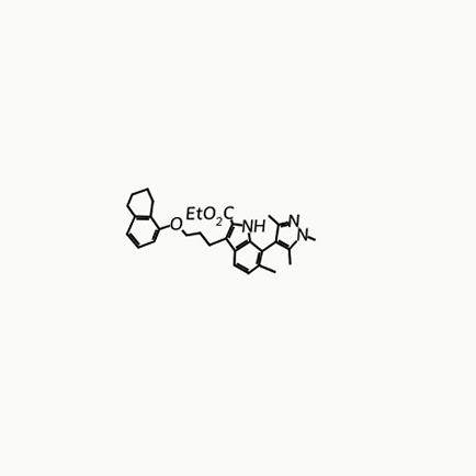 CCOC(=O)c1[nH]c2c(-c3c(C)nn(C)c3C)c(C)ccc2c1CCCOc1cccc2c1CCCC2